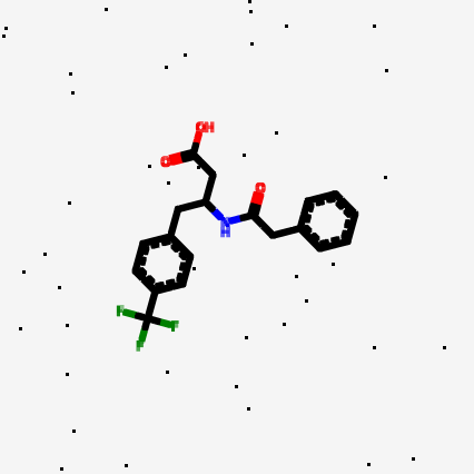 O=C(O)CC(Cc1ccc(C(F)(F)F)cc1)NC(=O)Cc1ccccc1